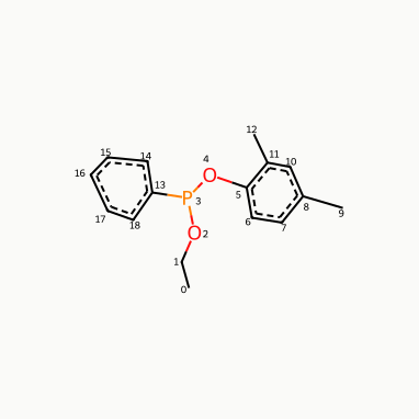 CCOP(Oc1ccc(C)cc1C)c1ccccc1